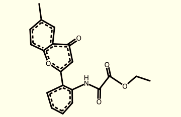 CCOC(=O)C(=O)Nc1ccccc1-c1cc(=O)c2cc(C)ccc2o1